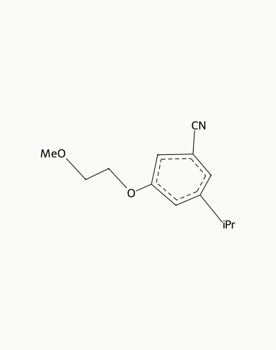 COCCOc1cc(C#N)cc(C(C)C)c1